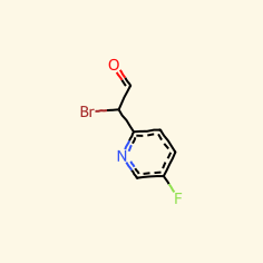 O=CC(Br)c1ccc(F)cn1